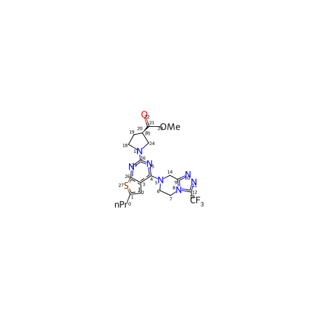 CCCc1cc2c(N3CCn4c(nnc4C(F)(F)F)C3)nc(N3CC[C@@H](C(=O)OC)C3)nc2s1